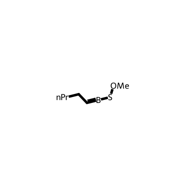 CCCCC=BSOC